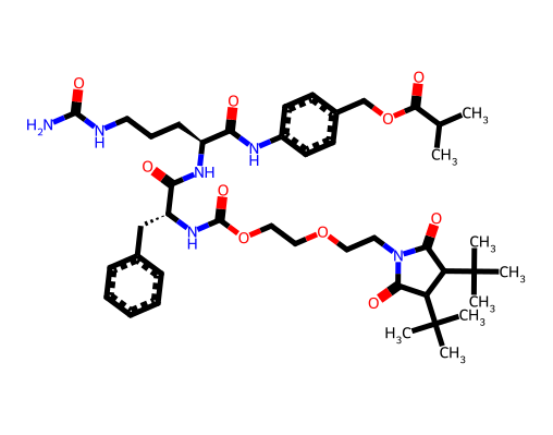 CC(C)C(=O)OCc1ccc(NC(=O)[C@H](CCCNC(N)=O)NC(=O)[C@@H](Cc2ccccc2)NC(=O)OCCOCCN2C(=O)C(C(C)(C)C)C(C(C)(C)C)C2=O)cc1